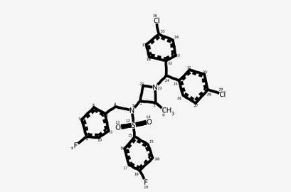 CC1C(N(Cc2ccc(F)cc2)S(=O)(=O)c2ccc(F)cc2)CN1C(c1ccc(Cl)cc1)c1ccc(Cl)cc1